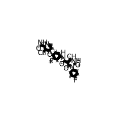 Cc1[nH]c(=O)n(-c2ccc(F)cc2)c(=O)c1C(=O)Nc1ccc(Oc2ccnc(C(N)=O)c2Cl)c(F)c1